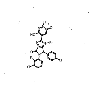 CC(C)n1c(-c2cc(=O)n(C)nc2O)nc2c1C(c1ccc(Cl)cc1)N(c1cccc(Cl)c1F)C2=O